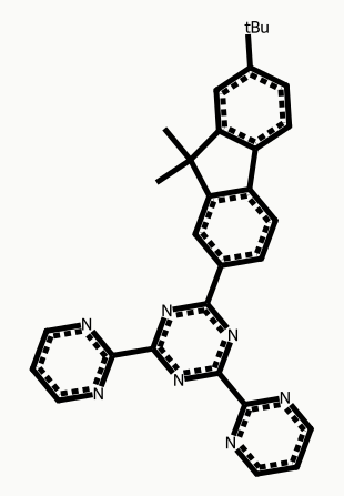 CC(C)(C)c1ccc2c(c1)C(C)(C)c1cc(-c3nc(-c4ncccn4)nc(-c4ncccn4)n3)ccc1-2